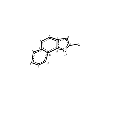 Cc1cc2ccc3ccccc3c2o1